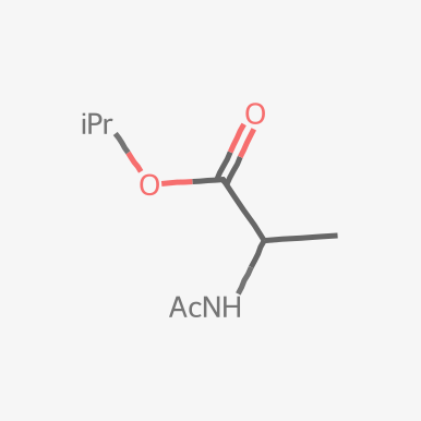 CC(=O)NC(C)C(=O)OC(C)C